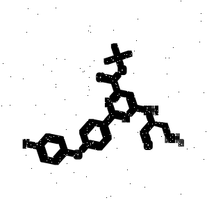 CC(C)(C)OC(=O)c1cc(N[C@H](C=O)CN)nc(-c2ccc(Oc3ccc(F)cc3)cc2)n1